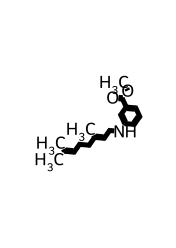 COC(=O)c1cccc(NC/C=C(\C)CCC=C(C)C)c1